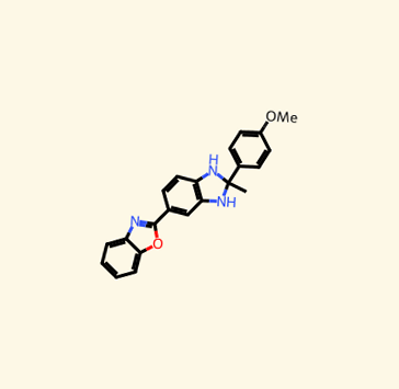 COc1ccc(C2(C)Nc3ccc(-c4nc5ccccc5o4)cc3N2)cc1